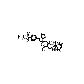 Cc1cc(C)n2nc(CC3=C(O)CC(CCc4ccc(S(=O)(=O)C(F)(F)F)cc4)(C4CCCC4)OC3=O)nc2n1